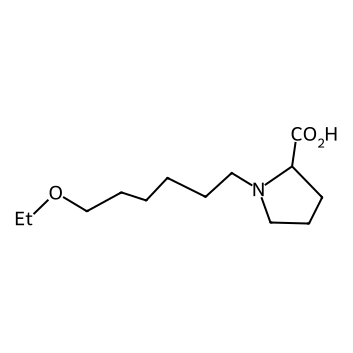 CCOCCCCCCN1CCCC1C(=O)O